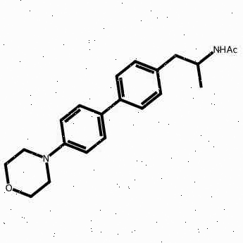 CC(=O)NC(C)Cc1ccc(-c2ccc(N3CCOCC3)cc2)cc1